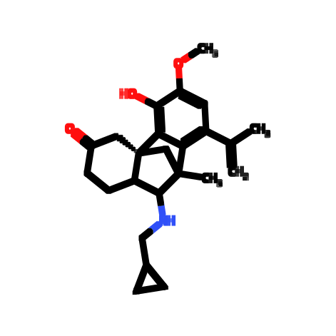 C=C(C)c1cc(OC)c(O)c2c1C1(C)C[C@]23CC(=O)CCC3C1NCC1CC1